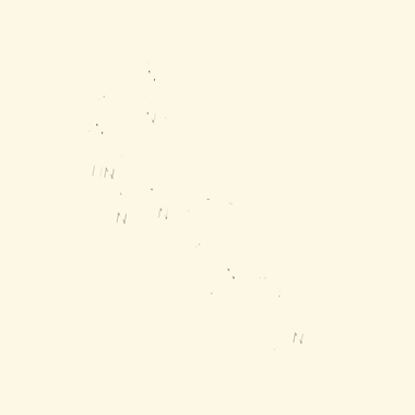 CN1CCC2(CC1)CCN(c1cccc(-n3cnc(Nc4cnc(C#N)cn4)c3)c1)C2